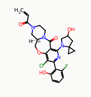 C=CC(=O)N1CCN2C(=O)c3c(N4CC(O)CC45CC5)nc(-c4c(O)cccc4F)c(Cl)c3OC[C@H]2C1